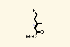 COC(=O)/C=C(\C)CCF